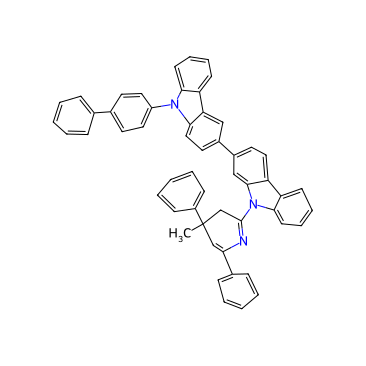 CC1(c2ccccc2)C=C(c2ccccc2)N=C(n2c3ccccc3c3ccc(-c4ccc5c(c4)c4ccccc4n5-c4ccc(-c5ccccc5)cc4)cc32)C1